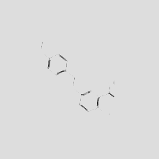 COc1ccc(COc2ccc(O)c(C(=O)O)c2)cc1